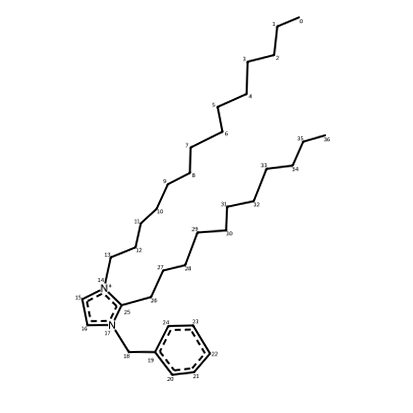 CCCCCCCCCCCCCC[n+]1ccn(Cc2ccccc2)c1CCCCCCCCCCC